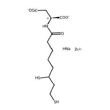 O=C([O-])C[C@H](NC(=O)CCCCC(S)CCS)C(=O)[O-].[NaH].[Zn+2]